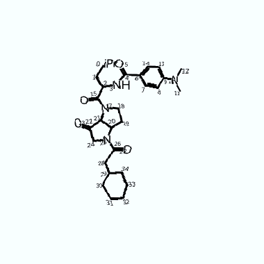 CC(C)CC(NC(=O)c1ccc(N(C)C)cc1)C(=O)N1CCC2C1C(=O)CN2C(=O)CC1CCCCC1